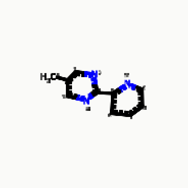 Cc1cnc(-c2cc[c]cn2)nc1